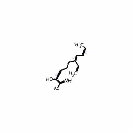 C=C/C(=C\C=C/C)CC/C=C(/O)C(=N)C(C)=O